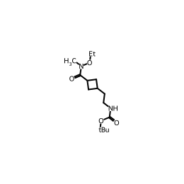 CCON(C)C(=O)C1CC(CCNC(=O)OC(C)(C)C)C1